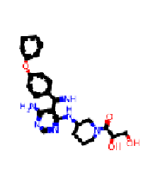 N=C(c1ccc(Oc2ccccc2)cc1)c1c(N)ncnc1NC1CCCN(C(=O)C(O)CO)C1